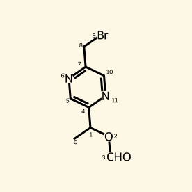 CC(OC=O)c1cnc(CBr)cn1